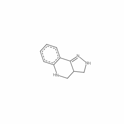 c1ccc2c(c1)NCC1CNN=C21